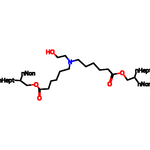 CCCCCCCCCC(CCCCCCC)COC(=O)CCCCCN(CCO)CCCCCC(=O)OCC(CCCCCCC)CCCCCCCCC